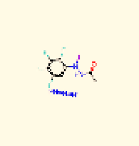 CC(=O)NN(I)c1cc(F)c(F)c(F)c1F.[N-]=[N+]=N